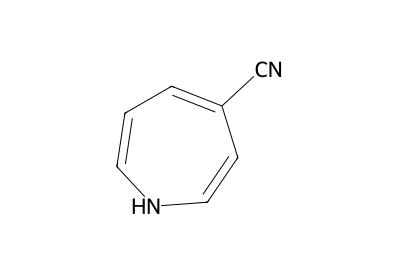 N#CC1=CC=CNC=C1